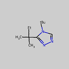 CCC(C)(C)c1nncn1C(C)(C)C